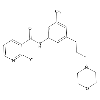 O=C(Nc1cc(CCCN2CCOCC2)cc(C(F)(F)F)c1)c1cccnc1Cl